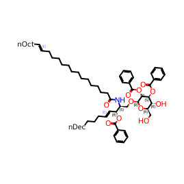 CCCCCCCC/C=C/CCCCCCCCCCCCCC(=O)N[C@@H](CO[C@@H]1O[C@H](CO)[C@@H](O)[C@H](OC(=O)c2ccccc2)[C@H]1OC(=O)c1ccccc1)[C@@H](/C=C/CCCCCCCCCCCCC)OC(=O)c1ccccc1